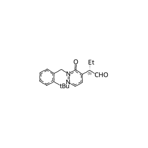 CC[C@H](C=O)c1ccnn(Cc2ccccc2C(C)(C)C)c1=O